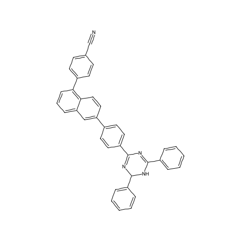 N#Cc1ccc(-c2cccc3cc(-c4ccc(C5=NC(c6ccccc6)NC(c6ccccc6)=N5)cc4)ccc23)cc1